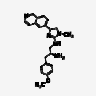 COc1ccc(C[C@H](N)CNC2=NC(c3ccc4cnccc4c3)CN2C)cc1